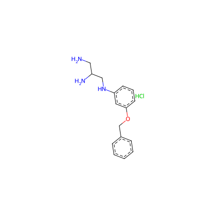 Cl.NCC(N)CNc1cccc(OCc2ccccc2)c1